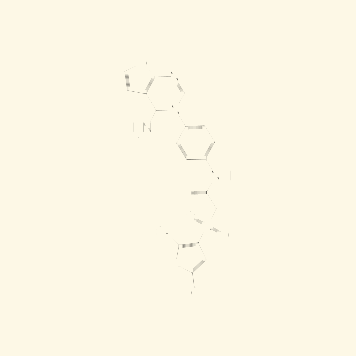 NC1c2ccoc2N=CN1c1ccc(NC(=O)CS(=O)(=O)c2cc(Cl)sc2Cl)cc1